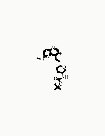 COc1ccc2ncc(F)c(CC[C@@H]3CC[C@@H](NC(=O)OC(C)(C)C)CO3)c2n1